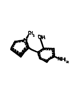 Cn1cccc1-c1ccc(N)cc1O